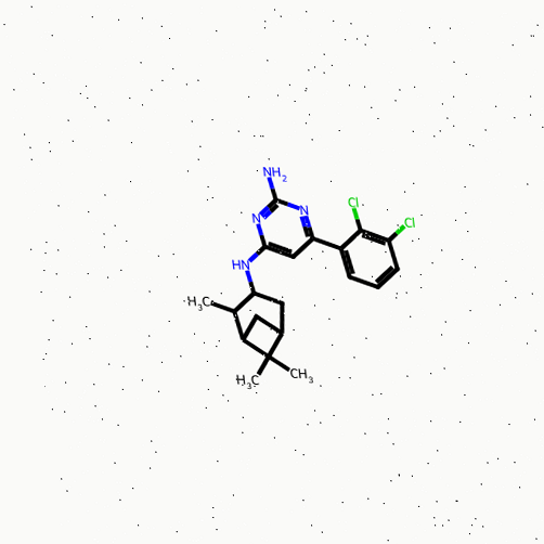 CC1C(Nc2cc(-c3cccc(Cl)c3Cl)nc(N)n2)CC2CC1C2(C)C